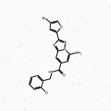 Nc1cc(C(=O)NCc2ccccc2Cl)cc2nc(-c3cc(Br)co3)nn12